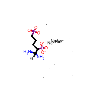 CCC(N)(N)C(CCCP(=O)([O-])[O-])P(=O)([O-])[O-].[Na+].[Na+].[Na+].[Na+]